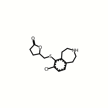 O=C1CCC(CSc2c(Cl)ccc3c2CCNCC3)O1